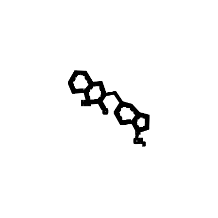 Cn1ccc2cc(Cc3cc4ccccc4[nH]c3=O)ccc21